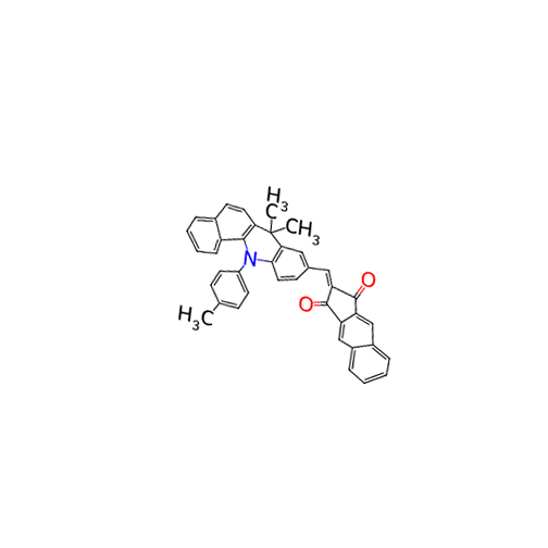 Cc1ccc(N2c3ccc(C=C4C(=O)c5cc6ccccc6cc5C4=O)cc3C(C)(C)c3ccc4ccccc4c32)cc1